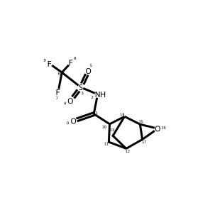 O=C(NS(=O)(=O)C(F)(F)F)C1CC2CC1C1OC21